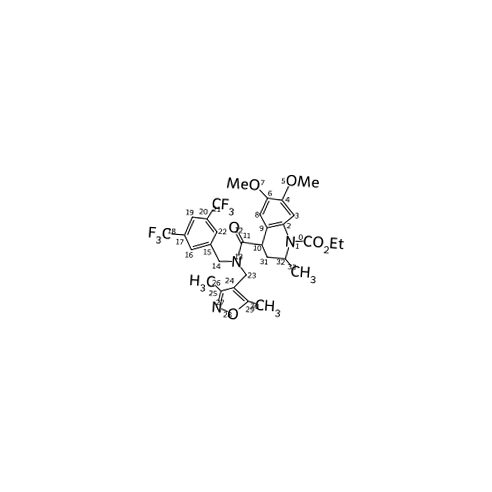 CCOC(=O)N1c2cc(OC)c(OC)cc2C(C(=O)N(Cc2cc(C(F)(F)F)cc(C(F)(F)F)c2)Cc2c(C)noc2C)CC1C